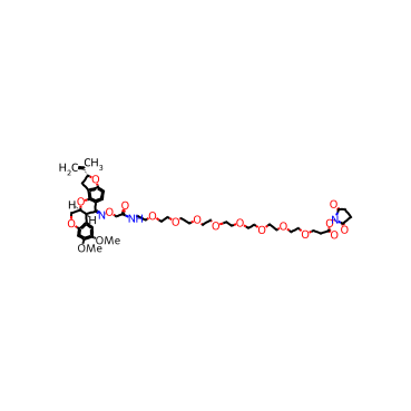 C=C(C)[C@H]1Cc2c(ccc3c2O[C@@H]2COc4cc(OC)c(OC)cc4[C@@H]2/C3=N/OCC(=O)NCCOCCOCCOCCOCCOCCOCCOCCOCCC(=O)ON2C(=O)CCC2=O)O1